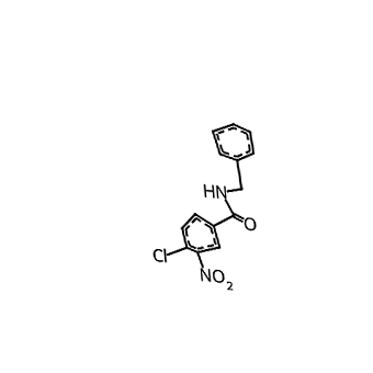 O=C(NCc1ccccc1)c1ccc(Cl)c([N+](=O)[O-])c1